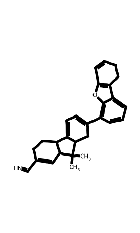 CC1(C)C2CC(c3cccc4c5c(oc34)C=CCC5)=CC=C2C2CCC(C=N)=CC21